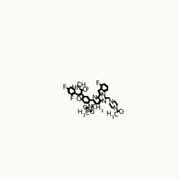 CNC(=O)c1c(-c2ccc(F)cc2F)oc2cc(N(C)S(C)(=O)=O)c(-c3ccc4nc(CN5CCN(C(C)=O)CC5)n5c6cccc(F)c6cc5c4n3)cc12